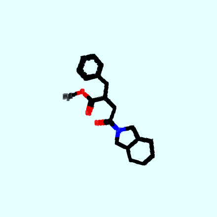 COC(=O)C(CC(=O)N1CC2CCCCC2C1)Cc1ccccc1